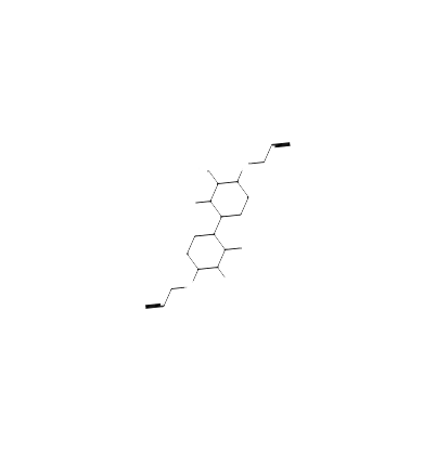 C=CCOC1CCC(C2CCC(OCC=C)C(Cl)C2F)C(F)C1F